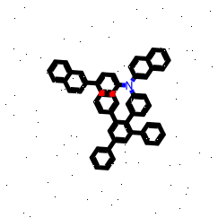 c1ccc(-c2cc(-c3ccccc3)c(-c3cccc(N(c4ccc(-c5ccc6ccccc6c5)cc4)c4ccc5ccccc5c4)c3)c(-c3ccccc3)c2)cc1